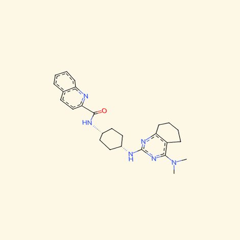 CN(C)c1nc(N[C@H]2CC[C@@H](NC(=O)c3ccc4ccccc4n3)CC2)nc2c1CCCC2